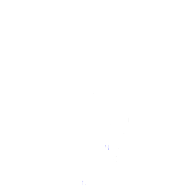 CC12CCCCC1(C)N(c1ccncc1)c1ccc(-c3ccc4ccc5c(-c6ccccc6)ccc6ccc3c4c65)cc12